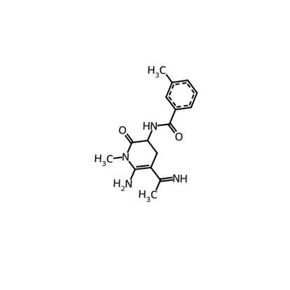 CC(=N)C1=C(N)N(C)C(=O)C(NC(=O)c2cccc(C)c2)C1